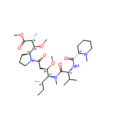 CC[C@H](C)[C@@H]([C@@H](CC(=O)N1CCC[C@H]1[C@H](OC)[C@@H](C)C(=O)OC)OC)N(C)C(=O)[C@@H](NC(=O)[C@@H]1CCCCN1C)C(C)C